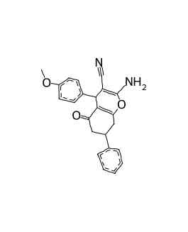 COc1ccc(C2C(C#N)=C(N)OC3=C2C(=O)CC(c2ccccc2)C3)cc1